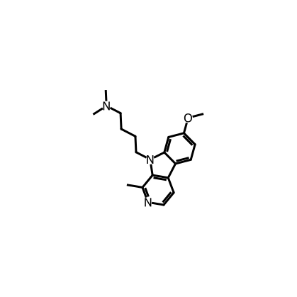 COc1ccc2c3ccnc(C)c3n(CCCCN(C)C)c2c1